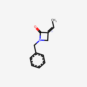 C/C=C1/CN(Cc2ccccc2)C1=O